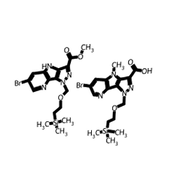 COC(=O)c1nn(COCC[Si](C)(C)C)c2c1[nH]c1cc(Br)cnc12.Cn1c2cc(Br)cnc2c2c1c(C(=O)O)nn2COCC[Si](C)(C)C